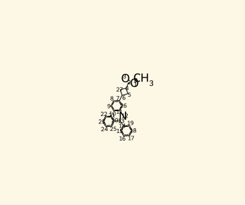 COC(=O)C1CC(c2cccc(N=C(c3ccccc3)c3ccccc3)c2)C1